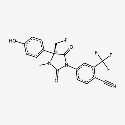 CN1C(=O)N(c2ccc(C#N)c(C(F)(F)F)c2)C(=O)[C@@]1(CF)c1ccc(O)cc1